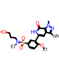 CCCc1nn(C)c2c(=O)[nH]c(-c3cc(S(=O)(=O)N(CC)CCCO)ccc3OCC)cc12